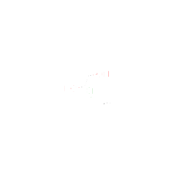 OCCO.[Cl-].[Cl-].[Fe+2]